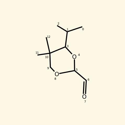 CC(C)C1OC(C=O)OCC1(C)C